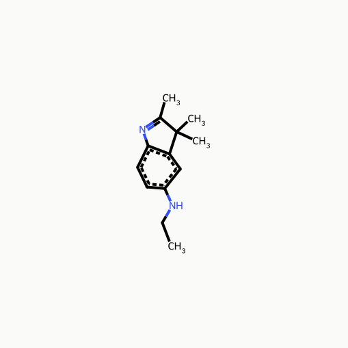 CCNc1ccc2c(c1)C(C)(C)C(C)=N2